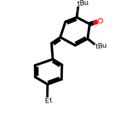 CCc1ccc(C=C2C=C(C(C)(C)C)C(=O)C(C(C)(C)C)=C2)cc1